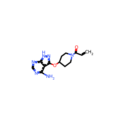 C=CC(=O)N1CCC(Oc2n[nH]c3ncnc(N)c23)CC1